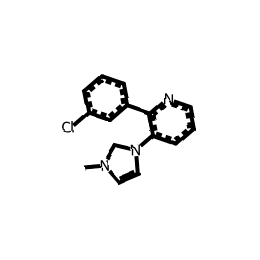 CN1C=CN(c2cccnc2-c2cccc(Cl)c2)C1